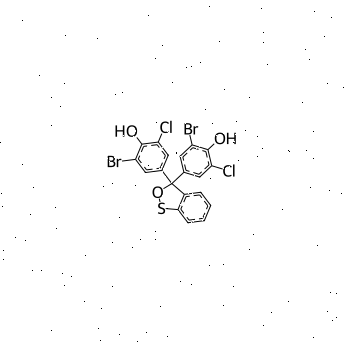 Oc1c(Cl)cc(C2(c3cc(Cl)c(O)c(Br)c3)OSc3ccccc32)cc1Br